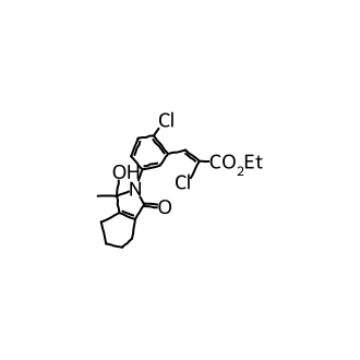 CCOC(=O)C(Cl)=Cc1cc(N2C(=O)C3=C(CCCC3)C2(C)O)ccc1Cl